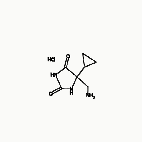 Cl.NCC1(C2CC2)NC(=O)NC1=O